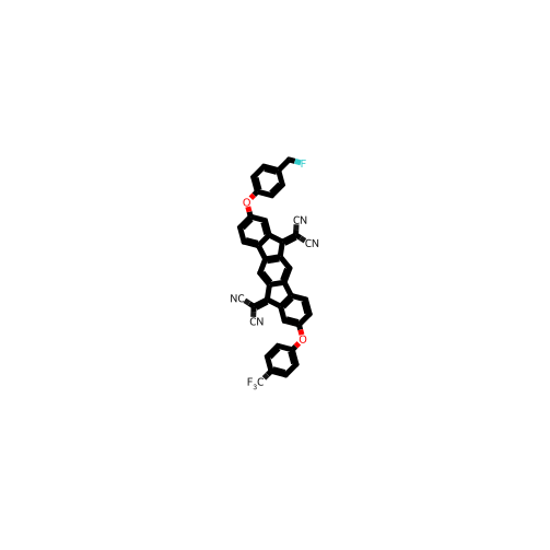 N#CC(C#N)=C1c2cc(Oc3ccc(CF)cc3)ccc2-c2cc3c(cc21)-c1ccc(Oc2ccc(C(F)(F)F)cc2)cc1C3=C(C#N)C#N